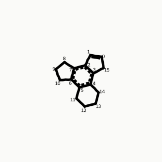 C1=Cc2c(c3c(c4c2CCC4)CCCC3)C1